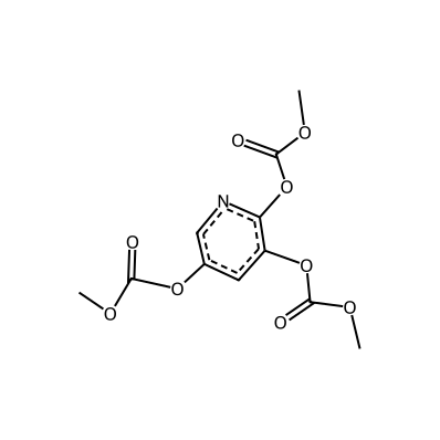 COC(=O)Oc1cnc(OC(=O)OC)c(OC(=O)OC)c1